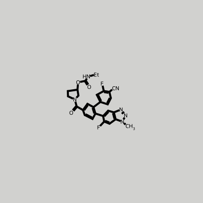 CCNC(=O)OC1CCN(C(=O)c2ccc(-c3cc4nnn(C)c4cc3F)c(-c3ccc(C#N)c(F)c3)c2)C1